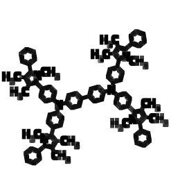 Cc1c(C)c(-c2ccc(N(c3ccc(-c4ccc(N(c5ccc(-c6c(C)c(C)c(-c7ccccc7)n6C)cc5)c5ccc(-c6c(C)c(C)c(-c7ccccc7)n6C)cc5)cc4)cc3)c3ccc(-c4c(C)c(C)c(-c5ccccc5)n4C)cc3)cc2)n(C)c1-c1ccccc1